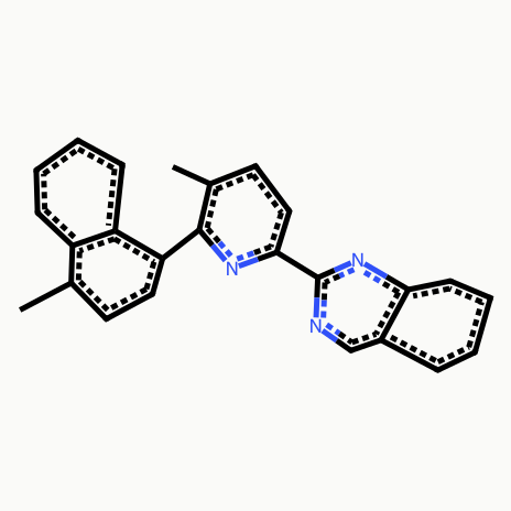 Cc1ccc(-c2ncc3ccccc3n2)nc1-c1ccc(C)c2ccccc12